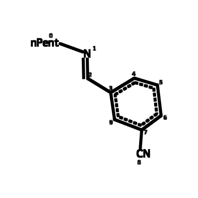 CCCCC/N=C/c1cccc(C#N)c1